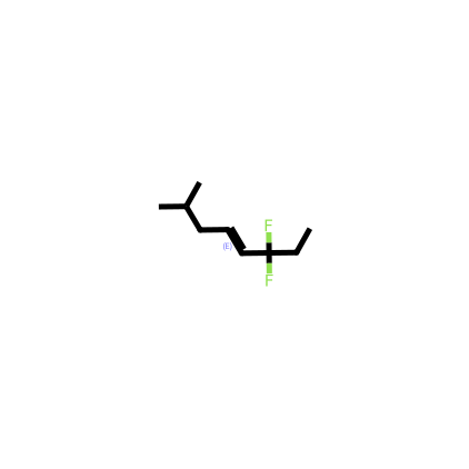 CCC(F)(F)/C=C/CC(C)C